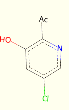 CC(=O)c1ncc(Cl)cc1O